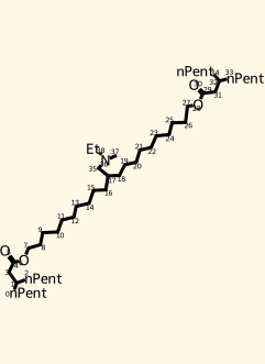 CCCCCC(CCCCC)CC(=O)OCCCCCCCCCCC(CCCCCCCCCCOC(=O)CC(CCCCC)CCCCC)CN(C)CC